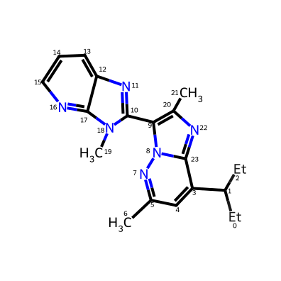 CCC(CC)c1cc(C)nn2c(-c3nc4cccnc4n3C)c(C)nc12